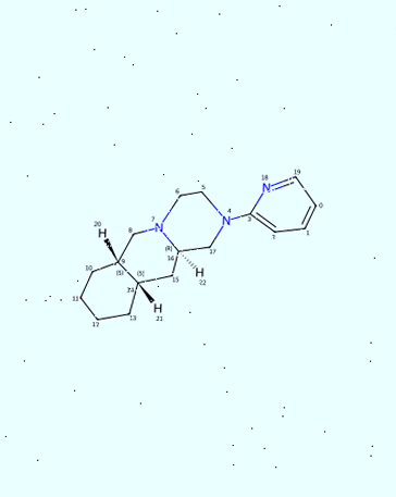 c1ccc(N2CCN3C[C@H]4CCCC[C@H]4C[C@@H]3C2)nc1